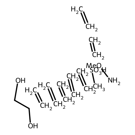 C=C.C=C.C=C.C=C.C=C.C=C.C=C.CON.CS(=O)(=O)O.OCCO